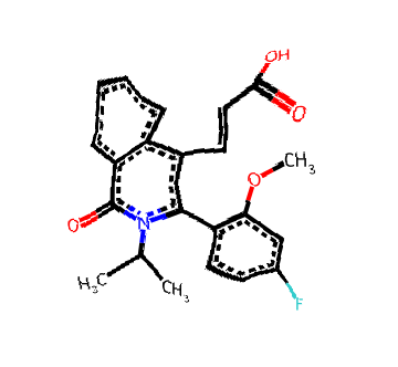 COc1cc(F)ccc1-c1c(/C=C/C(=O)O)c2ccccc2c(=O)n1C(C)C